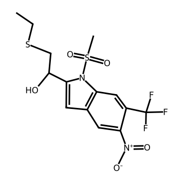 CCSCC(O)c1cc2cc([N+](=O)[O-])c(C(F)(F)F)cc2n1S(C)(=O)=O